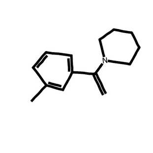 C=C(c1cccc(C)c1)N1CCCCC1